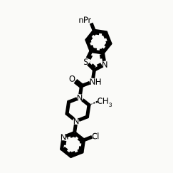 CCCc1ccc2nc(NC(=O)N3CCN(c4ncccc4Cl)C[C@H]3C)sc2c1